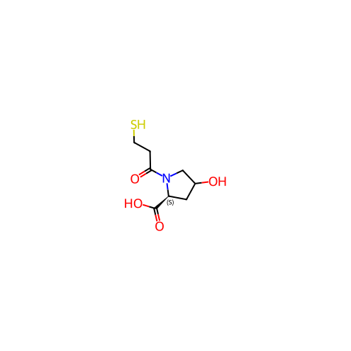 O=C(O)[C@@H]1CC(O)CN1C(=O)CCS